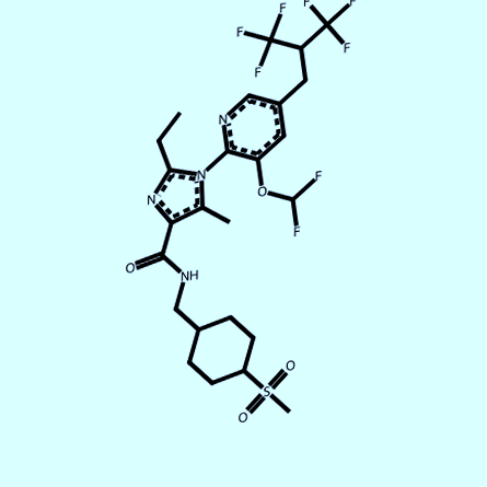 CCc1nc(C(=O)NCC2CCC(S(C)(=O)=O)CC2)c(C)n1-c1ncc(CC(C(F)(F)F)C(F)(F)F)cc1OC(F)F